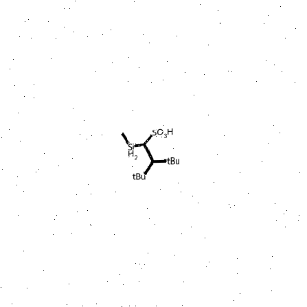 C[SiH2]C([C](C(C)(C)C)C(C)(C)C)S(=O)(=O)O